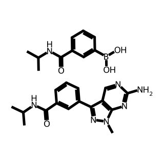 CC(C)NC(=O)c1cccc(-c2nn(C)c3nc(N)ncc23)c1.CC(C)NC(=O)c1cccc(B(O)O)c1